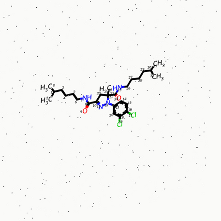 CC(C)CCCCNC(=O)C1=NN(c2ccc(Cl)c(Cl)c2)C(C)(C(=O)NCCCCC(C)C)C1